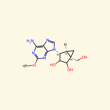 CCCOc1nc(N)c2ncn([C@H]3C(O)C(O)[C@]4(CO)C[C@H]34)c2n1